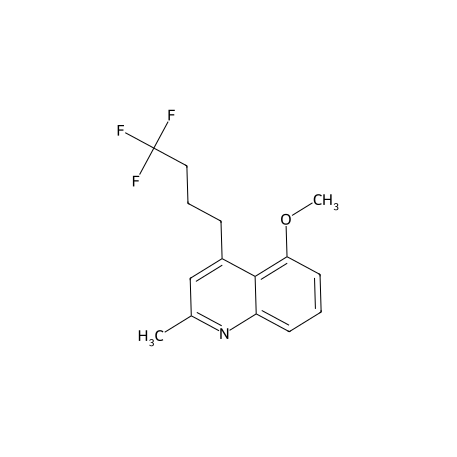 COc1cccc2nc(C)cc(CCCC(F)(F)F)c12